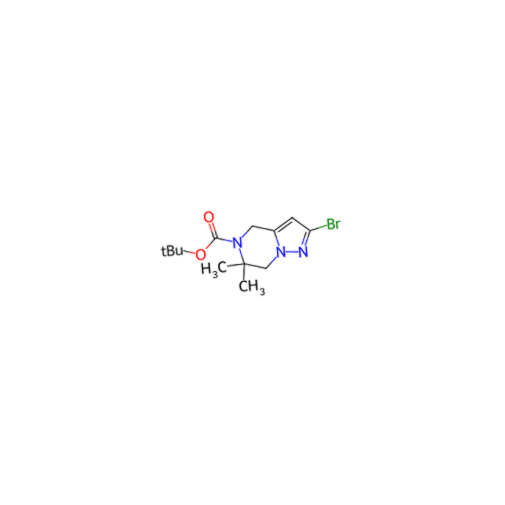 CC(C)(C)OC(=O)N1Cc2cc(Br)nn2CC1(C)C